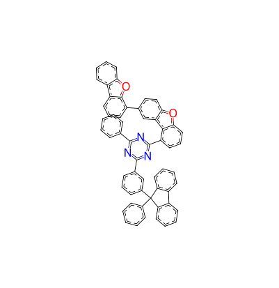 c1ccc(-c2nc(-c3cccc(C4(c5ccccc5)c5ccccc5-c5ccccc54)c3)nc(-c3cccc4oc5ccc(-c6cccc7c6oc6ccccc67)cc5c34)n2)cc1